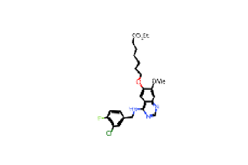 CCOC(=O)CCCCCCOc1cc2c(NCc3ccc(F)c(Cl)c3)ncnc2cc1OC